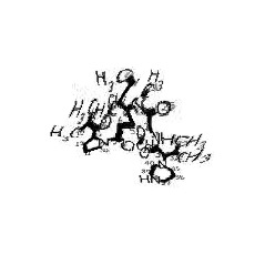 CCC(C)C(C(CC(=O)N1CCCC1C(OC)C(C)C)OC)N(C)C(=O)CNC(=O)C(C(C)C)N1CCCNCC1